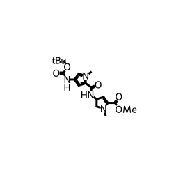 COC(=O)C1=CC(NC(=O)c2cc(NC(=O)OC(C)(C)C)cn2C)CN1C